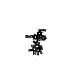 COc1ccc(C(OCC2O[C@@H](n3nnc4c(=O)[nH]c(NC(=O)C(C)C)nc43)[C@H](O)[C@H]2F)(c2ccccc2)c2ccc(OC)cc2)cc1